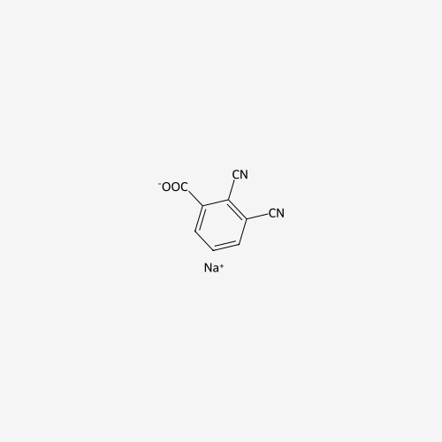 N#Cc1cccc(C(=O)[O-])c1C#N.[Na+]